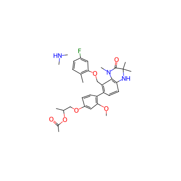 CNC.COc1cc(OCC(C)OC(C)=O)ccc1-c1ccc2c(c1COc1cc(F)ccc1C)N(C)C(=O)C(C)(C)N2